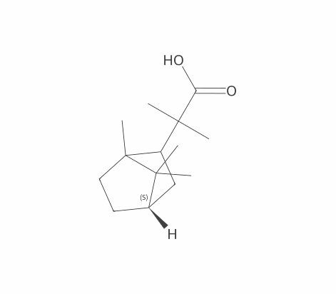 CC(C)(C(=O)O)C1C[C@@H]2CCC1(C)C2(C)C